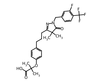 CC(C)(Oc1ccc(CCCC2=NN(Cc3ccc(C(F)(F)F)c(F)c3)C(=O)C2(C)C)cc1)C(=O)O